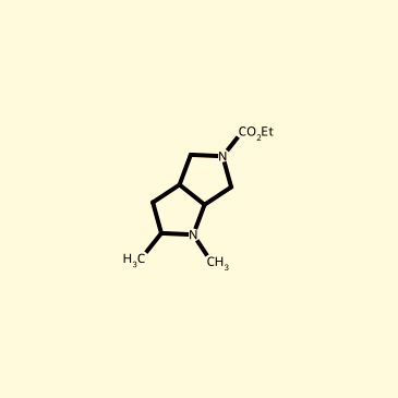 CCOC(=O)N1CC2CC(C)N(C)C2C1